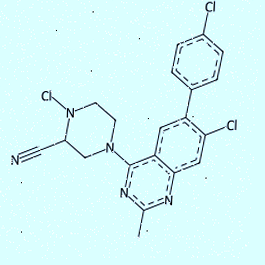 Cc1nc(N2CCN(Cl)C(C#N)C2)c2cc(-c3ccc(Cl)cc3)c(Cl)cc2n1